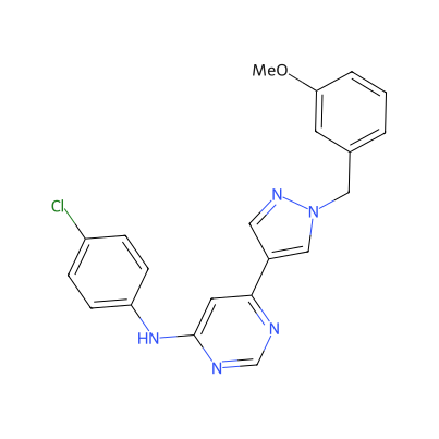 COc1cccc(Cn2cc(-c3cc(Nc4ccc(Cl)cc4)ncn3)cn2)c1